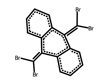 BrC(Br)=c1c2ccccc2c(=C(Br)Br)c2ccccc12